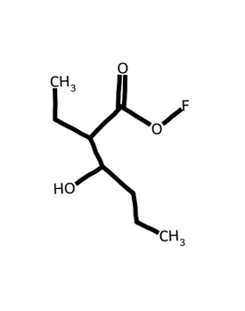 CCCC(O)C(CC)C(=O)OF